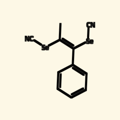 C/C([Se]C#N)=C(\[Se]C#N)c1ccccc1